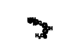 CC(=O)N1CCC(O)(c2cccc(COc3ccc(-c4ccn[nH]4)nc3)c2)CC1